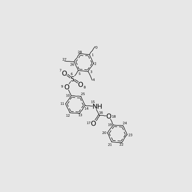 Cc1cc(C)c(S(=O)(=O)Oc2cccc(NC(=O)Oc3ccccc3)c2)c(C)c1